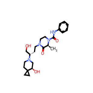 C[C@H]1C(=O)N(CC[C@@H](CO)N2CCC3(CC3)[C@H](O)C2)CCN1C(=O)Nc1ccccc1